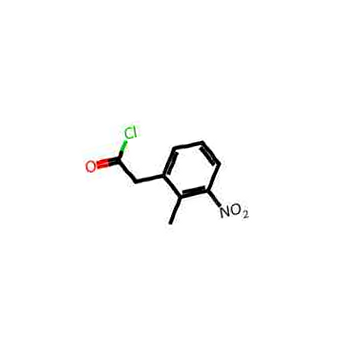 Cc1c(CC(=O)Cl)cccc1[N+](=O)[O-]